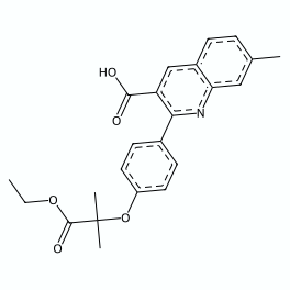 CCOC(=O)C(C)(C)Oc1ccc(-c2nc3cc(C)ccc3cc2C(=O)O)cc1